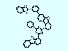 c1ccc(-c2nc(-c3cccc4c3oc3ccccc34)nc(-c3cccc4oc5cc(-c6cccc(-c7nc8ccccc8s7)c6)ccc5c34)n2)cc1